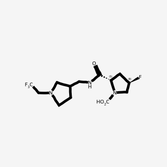 O=C(NCC1CCN(CC(F)(F)F)C1)[C@@H]1C[C@@H](F)CN1C(=O)O